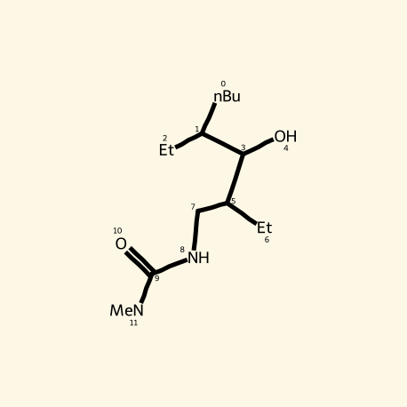 CCCCC(CC)C(O)C(CC)CNC(=O)NC